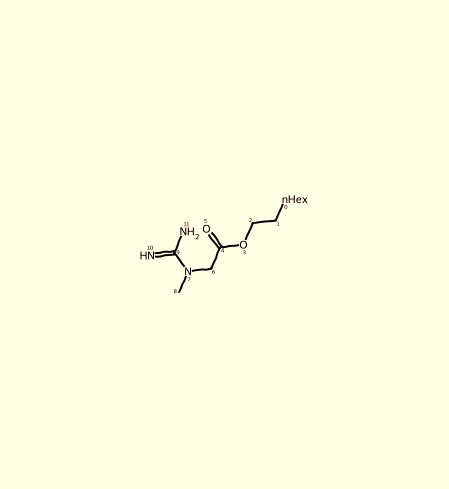 CCCCCCCCOC(=O)CN(C)C(=N)N